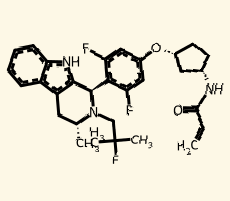 C=CC(=O)N[C@H]1CC[C@@H](Oc2cc(F)c([C@@H]3c4[nH]c5ccccc5c4C[C@@H](C)N3CC(C)(C)F)c(F)c2)C1